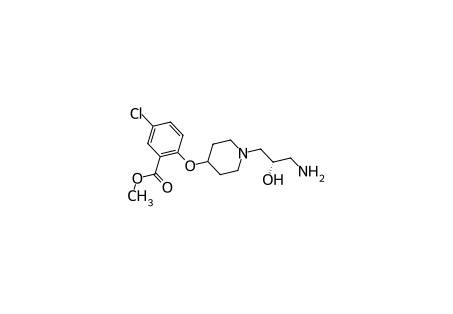 COC(=O)c1cc(Cl)ccc1OC1CCN(C[C@@H](O)CN)CC1